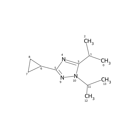 CC(C)c1nc(C2CC2)nn1C(C)C